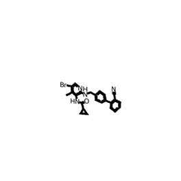 Cc1c(Br)cnc(NCc2ccc(-c3ccccc3C#N)cc2)c1NC(=O)C1CC1